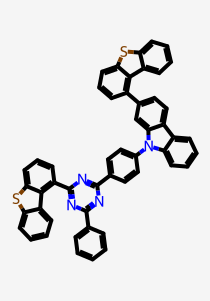 c1ccc(-c2nc(-c3ccc(-n4c5ccccc5c5ccc(-c6cccc7sc8ccccc8c67)cc54)cc3)nc(-c3cccc4sc5ccccc5c34)n2)cc1